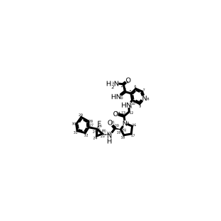 N=C(C(N)=O)c1ccncc1NCC(=O)N1CCC[C@H]1C(=O)N[C@@H]1C[C@@]1(F)c1ccccc1